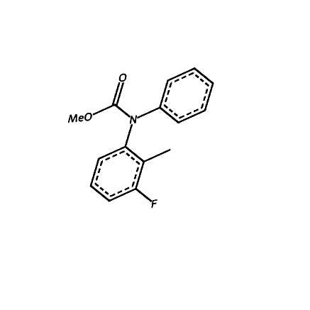 COC(=O)N(c1ccccc1)c1cccc(F)c1C